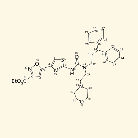 CCOC(=O)c1cc(-c2csc(NC(=O)N(CCC(c3ccccc3)c3ccccc3)CCN3CCOCC3)n2)on1